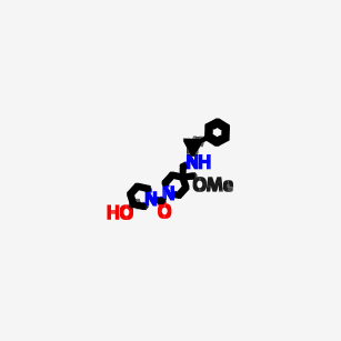 COCC1(CN[C@@H]2C[C@H]2c2ccccc2)CCN(C(=O)N2CCC[C@H](O)C2)CC1